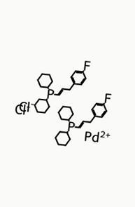 Fc1ccc(CC=CP(C2CCCCC2)C2CCCCC2)cc1.Fc1ccc(CC=CP(C2CCCCC2)C2CCCCC2)cc1.[Cl-].[Cl-].[Pd+2]